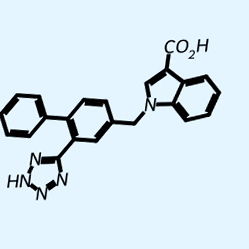 O=C(O)c1cn(Cc2ccc(-c3ccccc3)c(-c3nn[nH]n3)c2)c2ccccc12